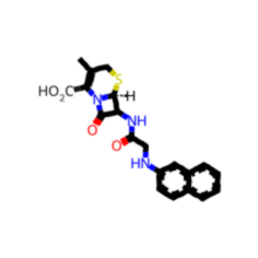 CC1=C(C(=O)O)N2C(=O)C(NC(=O)CNc3ccc4ccccc4c3)[C@@H]2SC1